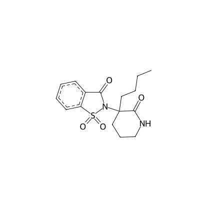 CCCCC1(N2C(=O)c3ccccc3S2(=O)=O)CCCNC1=O